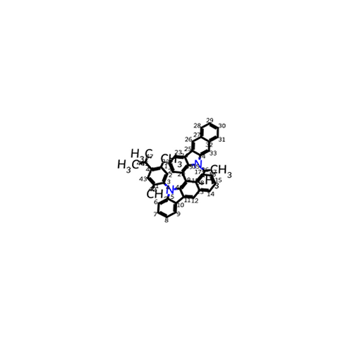 Cc1cc(-n2c3ccccc3c3cc4ccccc4c(-c4cccc5c6cc7ccccc7cc6n(C(C)C)c45)c32)c(C)cc1C(C)C